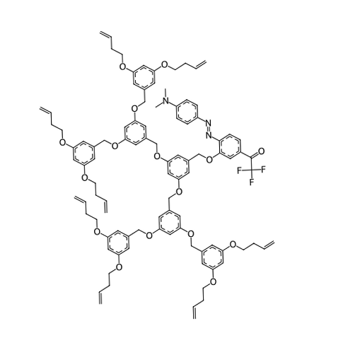 C=CCCOc1cc(COc2cc(COc3cc(COc4cc(C(=O)C(F)(F)F)ccc4N=Nc4ccc(N(C)C)cc4)cc(OCc4cc(OCc5cc(OCCC=C)cc(OCCC=C)c5)cc(OCc5cc(OCCC=C)cc(OCCC=C)c5)c4)c3)cc(OCc3cc(OCCC=C)cc(OCCC=C)c3)c2)cc(OCCC=C)c1